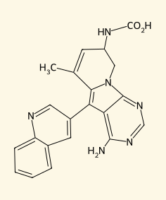 CC1=CC(NC(=O)O)Cn2c1c(-c1cnc3ccccc3c1)c1c(N)ncnc12